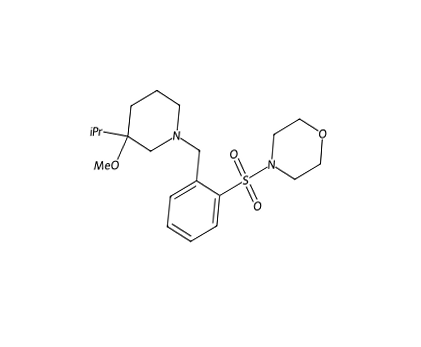 COC1(C(C)C)CCCN(Cc2ccccc2S(=O)(=O)N2CCOCC2)C1